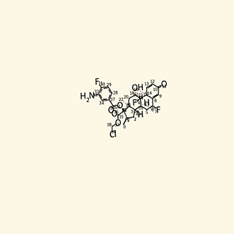 C[C@@H]1C[C@H]2[C@@H]3C[C@H](F)C4=CC(=O)C=C[C@]4(C)[C@@]3(F)[C@@H](O)C[C@]2(C)[C@@]1(OC(=O)c1ccc(F)c(N)c1)C(=O)OCCl